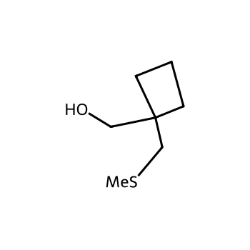 CSCC1(CO)CCC1